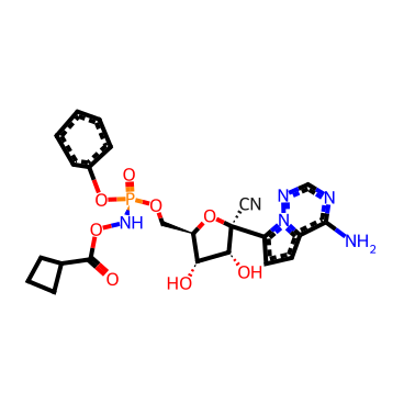 N#C[C@@]1(c2ccc3c(N)ncnn23)O[C@H](CO[P@](=O)(NOC(=O)C2CCC2)Oc2ccccc2)[C@@H](O)[C@H]1O